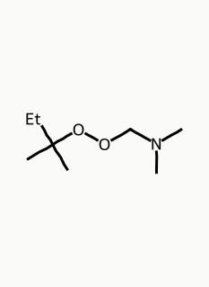 CCC(C)(C)OOCN(C)C